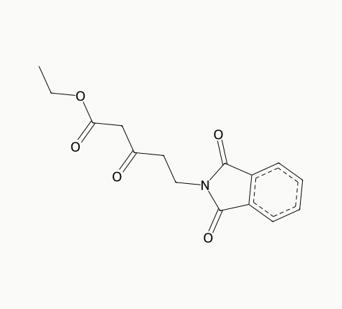 CCOC(=O)CC(=O)CCN1C(=O)c2ccccc2C1=O